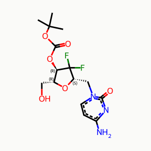 CC(C)(C)OC(=O)O[C@@H]1[C@@H](CO)O[C@@H](Cn2ccc(N)nc2=O)C1(F)F